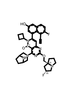 C#Cc1c(F)ccc2cc(O)cc(C3=Cc4nc(OC[C@@]56CCCN5C[C@H](F)C6)nc(N5CC6CCC(C5)N6)c4[S+]([O-])N3C3CCC3)c12